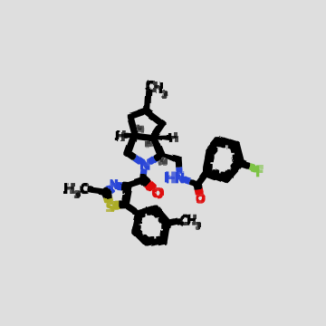 Cc1cccc(-c2sc(C)nc2C(=O)N2C[C@@H]3CC(C)C[C@@H]3[C@H]2CNC(=O)c2cccc(F)c2)c1